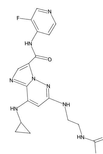 CC(=O)NCCNc1cc(NC2CC2)c2ncc(C(=O)Nc3ccncc3F)n2n1